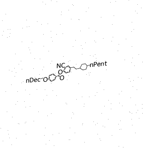 CCCCCCCCCCCOc1ccc(C(=O)Oc2ccc(CCC3CCC(CCCCC)CC3)cc2C#N)cc1